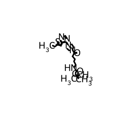 CCc1cc2c(N3CCN(C(=O)CCCCNC(=O)OC(C)(C)C)CC3)ncnc2s1